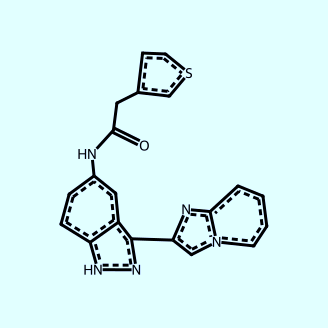 O=C(Cc1ccsc1)Nc1ccc2[nH]nc(-c3cn4ccccc4n3)c2c1